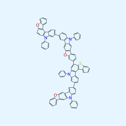 c1ccc(-n2c3ccc(-c4ccc5c6c7c(sc8ccccc87)c(-c7ccc8c(c7)oc7cc9c%10cc(-c%11ccc%12c%13c%14c(ccc%13n(-c%13ccccc%13)c%12c%11)oc%11ccccc%11%14)ccc%10n(-c%10ccccc%10)c9cc78)cc6n(-c6ccccc6)c5c4)cc3c3cc4oc5ccccc5c4cc32)cc1